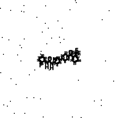 O=C(Nc1ccc(N2CCN(C(=O)c3ccccc3C(F)(F)F)CC2)nn1)Nc1ccccc1F